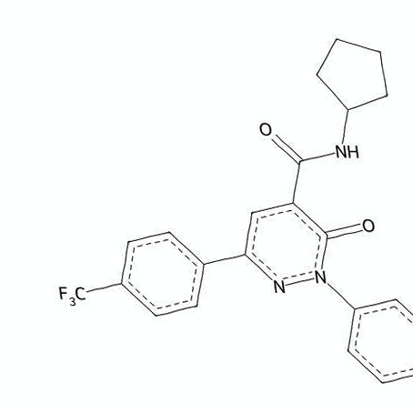 O=C(NC1CCCC1)c1cc(-c2ccc(C(F)(F)F)cc2)nn(-c2cccnc2)c1=O